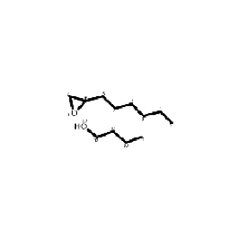 CCCCCCC1CO1.CCCCO